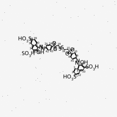 O=S(=O)(O)c1ccc2c(/N=N/c3ccc(S(=O)(=O)CCSSCS(=O)(=O)c4ccc(/N=N/c5c(O)c(S(=O)(=O)O)cc6cc(S(=O)(=O)O)ccc56)cc4)cc3)c(O)c(S(=O)(=O)O)cc2c1